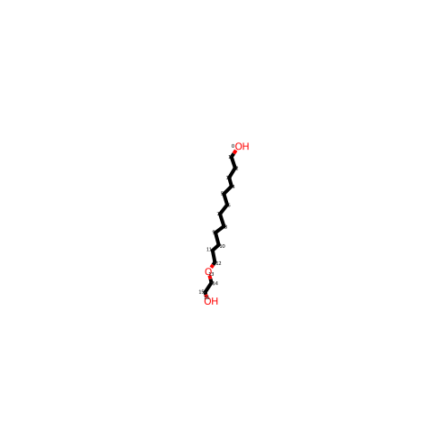 OCCCCCCCCCCCCOCCO